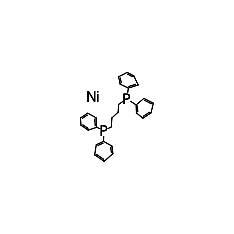 [Ni].c1ccc(P(CCCCP(c2ccccc2)c2ccccc2)c2ccccc2)cc1